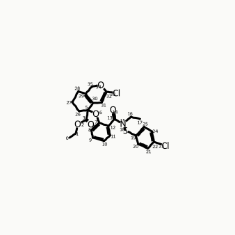 CCOC(=O)C1(Oc2ccccc2C(=O)N(CC)Sc2ccc(Cl)cc2)CCCC2=C1C=C(Cl)OC2